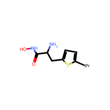 CC(C)c1ccc(CC(N)C(=O)NO)s1